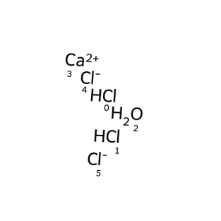 Cl.Cl.O.[Ca+2].[Cl-].[Cl-]